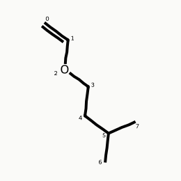 C=COCCC(C)C